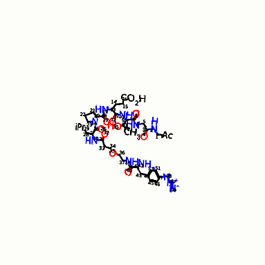 CC(=O)CNC(=O)CNC(=O)C(NC(=O)C(CCC(=O)O)NC(=O)C1CCCN1C(=O)C(CC(C)C)NC(=O)CCOCCNC(=O)C(N)Cc1ccc(N=[N+]=[N-])cc1)C(C)O